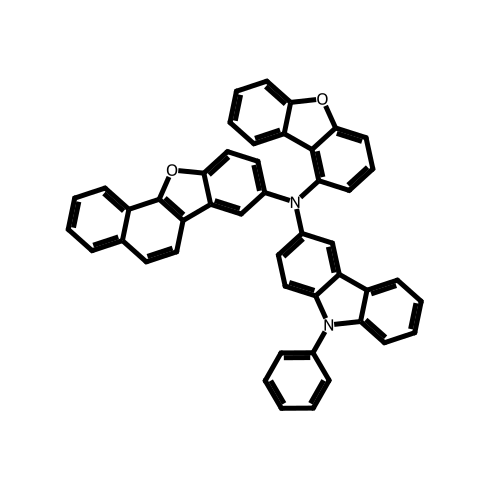 c1ccc(-n2c3ccccc3c3cc(N(c4ccc5oc6c7ccccc7ccc6c5c4)c4cccc5oc6ccccc6c45)ccc32)cc1